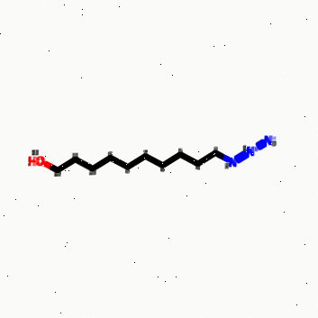 [N-]=[N+]=NCCCCCCCCCCO